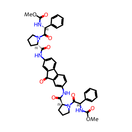 COC(=O)N[C@@H](C(=O)N1CCC[C@H]1C(=O)Nc1ccc2c(c1)C(=O)c1cc(NC(=O)[C@@H]3CCCN3C(=O)[C@H](NC(=O)OC)c3ccccc3)ccc1-2)c1ccccc1